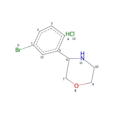 Brc1cccc(C2COCCN2)c1.Cl